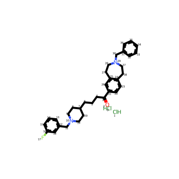 Cl.Cl.O=C(CCCC1CCN(Cc2cccc(F)c2)CC1)c1ccc2c(c1)CCN(Cc1ccccc1)CC2